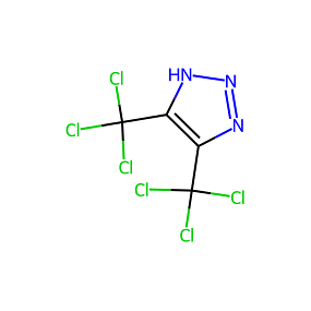 ClC(Cl)(Cl)c1nn[nH]c1C(Cl)(Cl)Cl